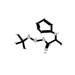 CC(Oc1ccccc1)C(=O)OOOC(C)(C)C